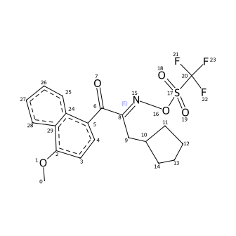 COc1ccc(C(=O)/C(CC2CCCC2)=N/OS(=O)(=O)C(F)(F)F)c2ccccc12